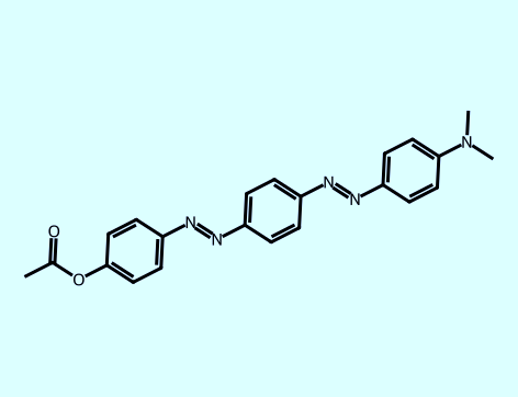 CC(=O)Oc1ccc(N=Nc2ccc(N=Nc3ccc(N(C)C)cc3)cc2)cc1